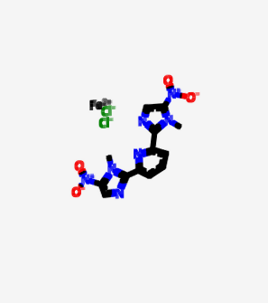 Cn1c([N+](=O)[O-])cnc1-c1cccc(-c2ncc([N+](=O)[O-])n2C)n1.[Cl-].[Cl-].[Fe+2]